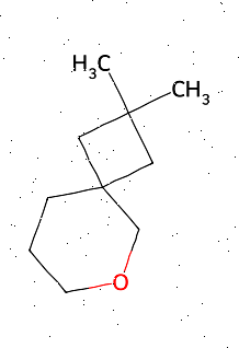 CC1(C)CC2(CCCOC2)C1